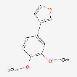 CCCCCCCCOc1ccc(-c2ccsc2)cc1OCCCCCCCC